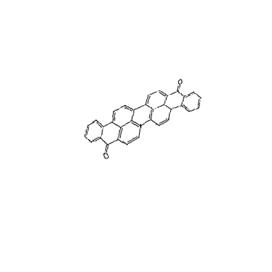 O=C1C2=CC=c3c4c(c5ccc6c7c(ccc3c57)-c3ccccc3C6=O)C=CC(c3ccccc31)C24